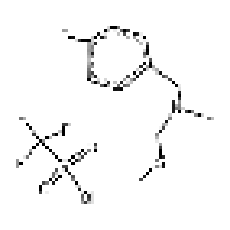 CSCN(C)Cc1ccc(F)cc1.O=S(=O)(O)C(F)(F)F